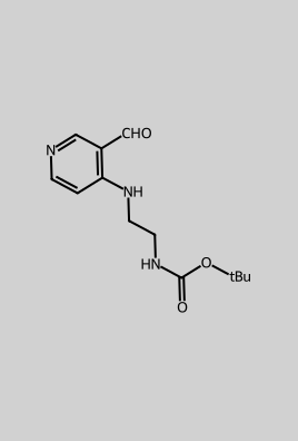 CC(C)(C)OC(=O)NCCNc1ccncc1C=O